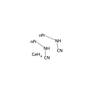 CCCNC#N.CCCNC#N.[GeH4]